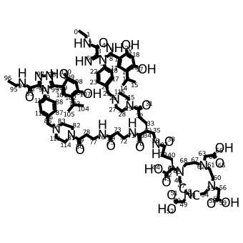 CCNC(=O)C(=N)N(C(=N)c1cc(C(C)C)c(O)cc1O)c1ccc(CN2CCN(C(=O)CC[C@@H](CNC(=O)CC[C@H](C(=O)O)N3CCN(CC(=O)O)CCN(CC(=O)O)CCN(CC(=O)O)CC3)C(=O)NCCC(=O)NCCC(=O)N3CCN(Cc4ccc(-n5c(C(=O)NCC)nnc5-c5cc(C(C)C)c(O)cc5O)cc4)CC3)CC2)cc1